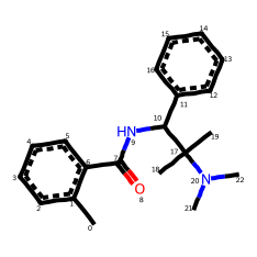 Cc1ccccc1C(=O)NC(c1ccccc1)C(C)(C)N(C)C